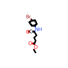 CCOC(=O)CCCC(=C=O)Nc1ccc(Br)cc1